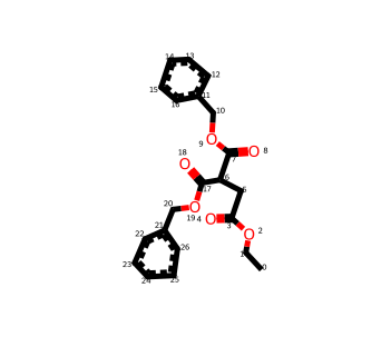 CCOC(=O)CC(C(=O)OCc1ccccc1)C(=O)OCc1ccccc1